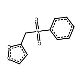 O=S(=O)(Cc1ccno1)c1ccccc1